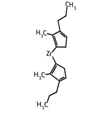 CCCC1=CC[C]([Zr][C]2=C(C)C(CCC)=CC2)=C1C